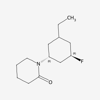 CCC1C[C@@H](F)C[C@H](N2CCCCC2=O)C1